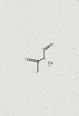 CC(=O)CC=O.[Co]